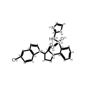 O=C1C(n2ccc3cc(Cl)ccc32)CCN1c1ccccc1S(=O)(=O)Nc1nccs1